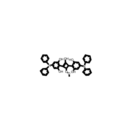 COOC1C(c2c(O)cc(N(c3ccccc3)c3ccccc3)cc2O)=C(O)C1c1c(O)cc(N(c2ccccc2)c2ccccc2)cc1O